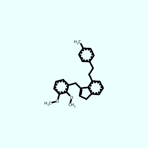 COc1cccc(CC2=CCc3cccc(CCc4ccc(C)cc4)c32)c1OC